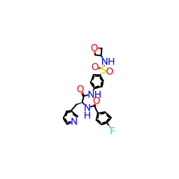 O=C(N[C@@H](Cc1cccnc1)C(=O)Nc1ccc(S(=O)(=O)NC2COC2)cc1)c1ccc(F)cc1